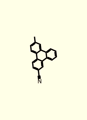 Cc1ccc2c3ccc(C#N)cc3c3ccccc3c2c1